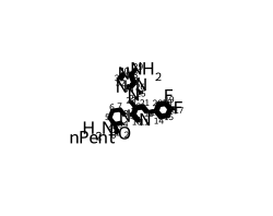 CCCCCC(=O)C1(N)CCCN(c2cnc(-c3ccc(F)c(F)c3)cc2Cn2cnc3c(N)ncnc32)C1